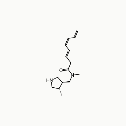 C=C/C=C\C=C\CC(=O)N(C)C[C@@H]1CNC[C@H]1C